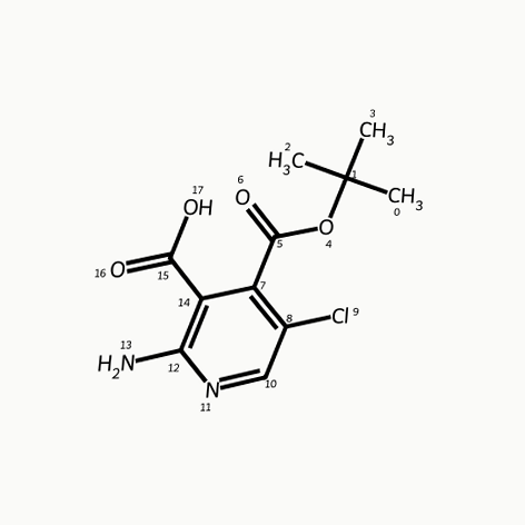 CC(C)(C)OC(=O)c1c(Cl)cnc(N)c1C(=O)O